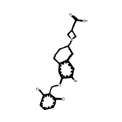 O=C(O)C1CN(C2CCc3cc(OCc4c(Cl)cccc4Cl)c(Br)cc3C2)C1